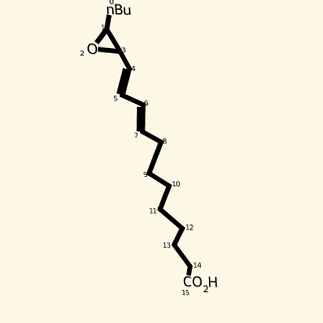 CCCCC1OC1C=CC=CCCCCCCCC(=O)O